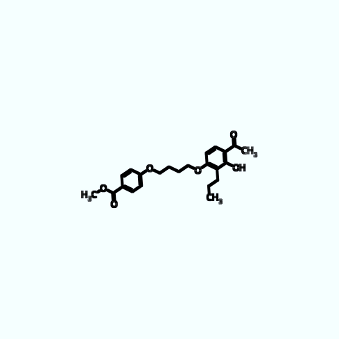 CCCc1c(OCCCCOc2ccc(C(=O)OC)cc2)ccc(C(C)=O)c1O